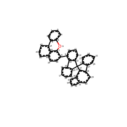 c1ccc2c(c1)Oc1c(-c3cccc4c3-c3ccccc3C43c4ccccc4-c4ccc5ccccc5c43)ccc3cccc-2c13